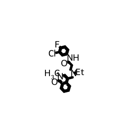 CCN(CCC(=O)Nc1ccc(F)c(Cl)c1)Cc1cn(C)c(=O)c2ccccc12